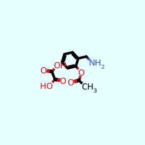 CC(=O)Oc1ccccc1CN.O=C(O)C(=O)O